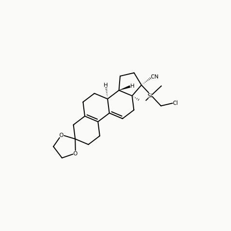 C[C@]12CC=C3C4=C(CC[C@H]3[C@@H]1CC[C@@]2(C#N)[Si](C)(C)CCl)CC1(CC4)OCCO1